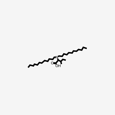 CCCCCCCCCCCCN(CCCCCCCCCCCC)C(C(=O)O)C(C)CC